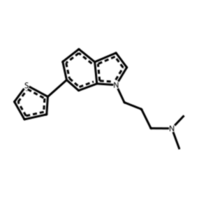 CN(C)CCCn1ccc2ccc(-c3cccs3)cc21